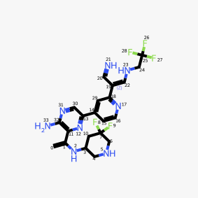 C=C(NC1CNCC(F)(F)C1)c1nc(-c2ccnc(/C(C=N)=C/NCC(F)(F)F)c2)cnc1N